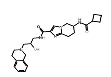 O=C(NCC(O)CN1CCc2ccccc2C1)c1cn2c(n1)CCC(NC(=O)C1CCC1)C2